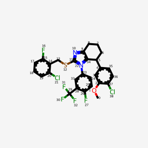 COc1cc(C2CCCc3nc(SCc4c(F)cccc4Cl)n(-c4ccc(F)c(C(F)(F)F)c4)c32)ccc1Cl